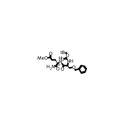 COC(=O)CC[C@@H](NC(=O)[C@H](COCc1ccccc1)NC(=O)OC(C)(C)C)C(N)=O